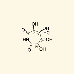 Cl.O=C1NC(=O)[C@H](O)[C@@H](O)[C@H](O)[C@@H]1O